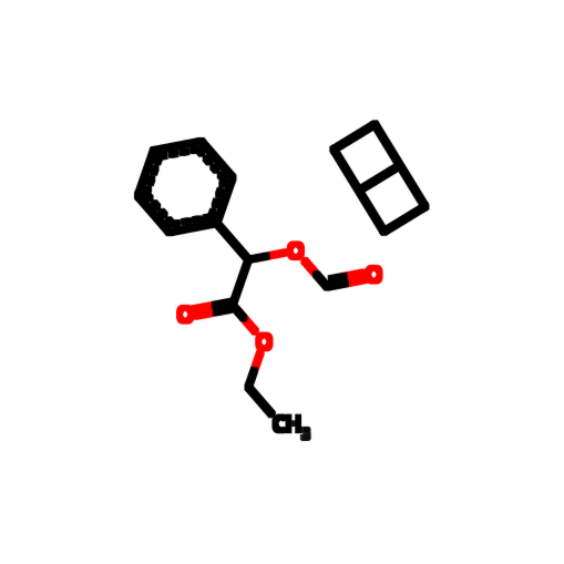 C1CC2CCC12.CCOC(=O)C(OC=O)c1ccccc1